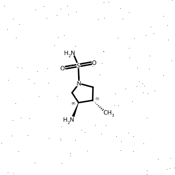 C[C@H]1CN(S(N)(=O)=O)C[C@@H]1N